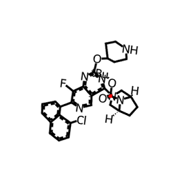 CC(C)(C)OC(=O)N1[C@@H]2CC[C@H]1CN(c1nc(OC3CCNCC3)nc3c(F)c(-c4cccc5cccc(Cl)c45)ncc13)C2